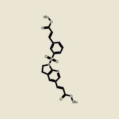 CC(C)(C)OC(=O)/C=C/c1cccc(S(=O)(=O)N2CCc3cc(/C=C/C(=O)OC(C)(C)C)cnc32)c1